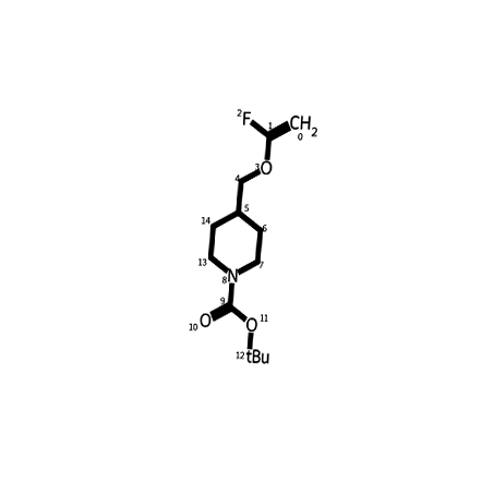 C=C(F)OCC1CCN(C(=O)OC(C)(C)C)CC1